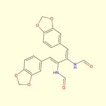 O=CNC(=Cc1ccc2c(c1)OCO2)/C(=C\c1ccc2c(c1)OCO2)NC=O